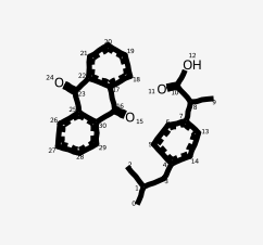 CC(C)Cc1ccc(C(C)C(=O)O)cc1.O=C1c2ccccc2C(=O)c2ccccc21